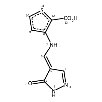 O=C1NN=C/C1=C\Nc1ccsc1C(=O)O